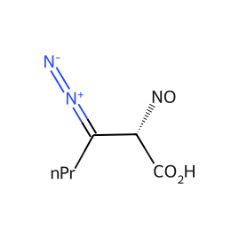 CCCC(=[N+]=[N-])[C@H](N=O)C(=O)O